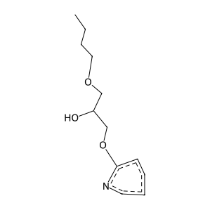 CCCCOCC(O)COc1ccccn1